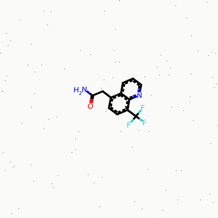 NC(=O)Cc1ccc(C(F)(F)F)c2ncccc12